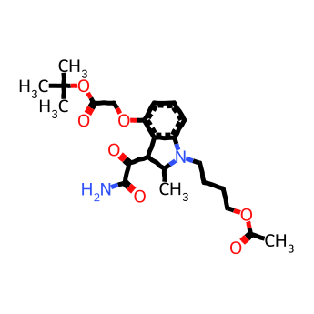 CC(=O)OCCCCN1c2cccc(OCC(=O)OC(C)(C)C)c2C(C(=O)C(N)=O)C1C